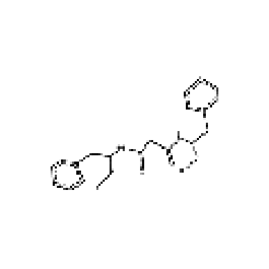 O=C(CC(=O)N[C@@H](CO)Cc1ccccc1)N[C@@H](CO)Cc1ccccc1